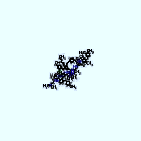 C=C(C)NC(C(=C)NCCCN(C)C)c1cccc(CC2CCC(C)CC2)c1-c1cc(C(NC(=C)C2NC(=C)CNC(=C)C(NC(=C)C(C)c3ccc(C)c(Cc4ccc(C)c(C)c4)c3)Cc3ccc(cc3)Cc3cc2cc(Cc2ccc(CC)cc2Cl)c3CCCCCC)C(=C)NC)ccc1C